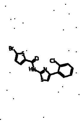 O=C(Nc1nc(-c2ccccc2Cl)cs1)c1ccc(Br)s1